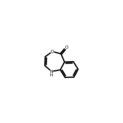 O=C1OC=CNc2ccccc21